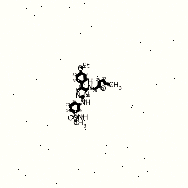 CCOc1ccc(-c2cnc(Nc3cccc(S(C)(=N)=O)c3)nc2NCc2ccc(C)o2)cc1